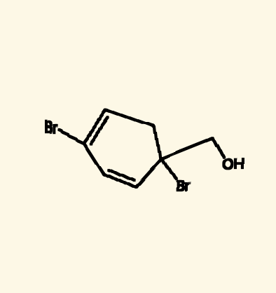 OCC1(Br)C=CC(Br)=CC1